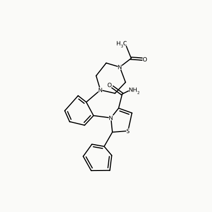 CC(=O)N1CCN(c2ccccc2N2C(C(N)=O)=CSC2c2ccccc2)CC1